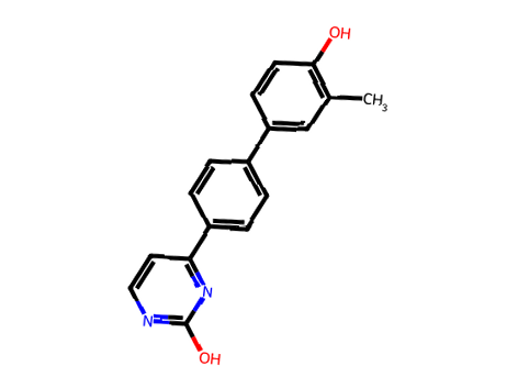 Cc1cc(-c2ccc(-c3ccnc(O)n3)cc2)ccc1O